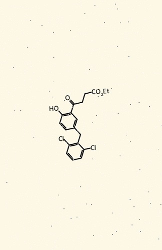 CCOC(=O)CCC(=O)c1cc(Cc2c(Cl)cccc2Cl)ccc1O